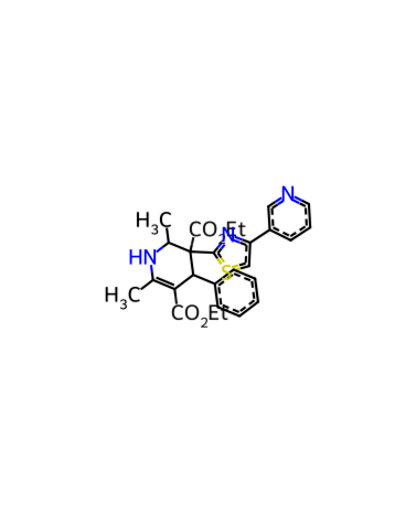 CCOC(=O)C1=C(C)NC(C)C(C(=O)OCC)(c2nc(-c3cccnc3)cs2)C1c1ccccc1